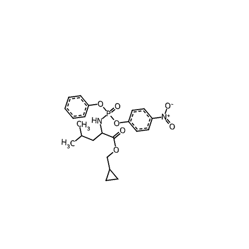 CC(C)CC(NP(=O)(Oc1ccccc1)Oc1ccc([N+](=O)[O-])cc1)C(=O)OCC1CC1